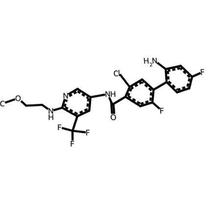 COCCNc1ncc(NC(=O)c2cc(F)c(-c3ccc(F)cc3N)cc2Cl)cc1C(F)(F)F